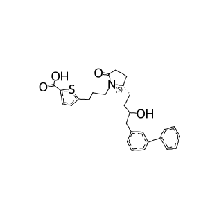 O=C(O)c1ccc(CCCN2C(=O)CC[C@@H]2CCC(O)Cc2cccc(-c3ccccc3)c2)s1